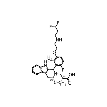 Cc1c(OCCNCCC(F)F)ccc(F)c1C1c2[nH]c3ccccc3c2C[C@@H](C)N1C[C@@H](C)C(=O)O